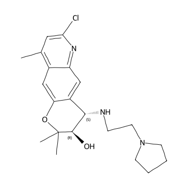 Cc1cc(Cl)nc2cc3c(cc12)OC(C)(C)[C@H](O)[C@H]3NCCN1CCCC1